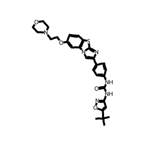 CC(C)(C)c1cc(NC(=O)Nc2ccc(-c3cn4c(n3)sc3ccc(OCCN5CCOCC5)cc34)cc2)no1